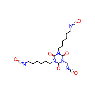 O=C=NCCCCCCn1c(=O)n(CCCCCCN=C=O)c(=O)n(CN=C=O)c1=O